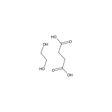 O=C(O)CCC(=O)O.OCCO